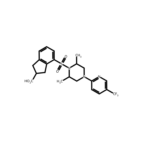 CC1CN(c2ccc(C(F)(F)F)cn2)CC(C)N1S(=O)(=O)c1cccc2c1CC(C(=O)O)C2